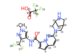 Cn1cc(NC(=O)c2ccc3ccc(N4CC5CNC(C5)C4)nn23)c(C(F)F)n1.O=C(O)C(F)(F)F